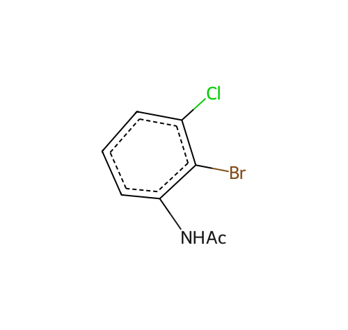 CC(=O)Nc1cccc(Cl)c1Br